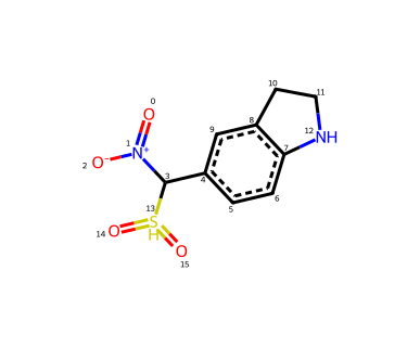 O=[N+]([O-])C(c1ccc2c(c1)CCN2)[SH](=O)=O